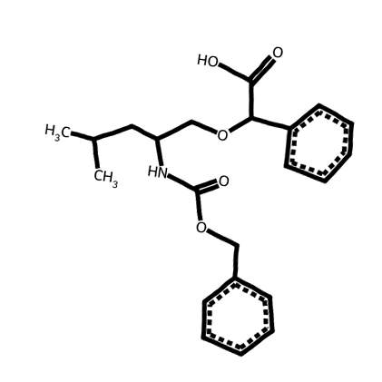 CC(C)CC(COC(C(=O)O)c1ccccc1)NC(=O)OCc1ccccc1